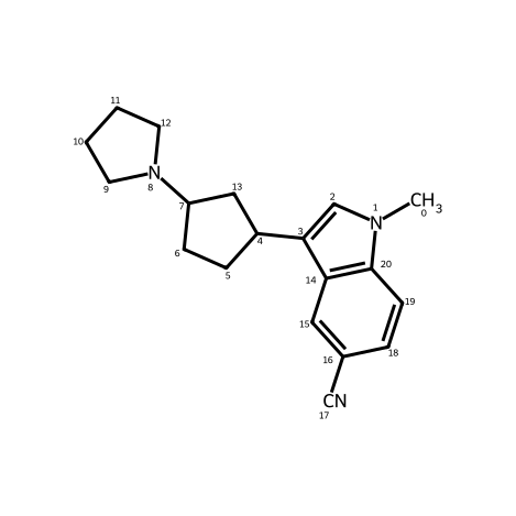 Cn1cc(C2CCC(N3CCCC3)C2)c2cc(C#N)ccc21